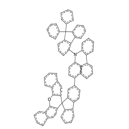 c1ccc(-c2ccccc2N(c2ccc(-c3ccc4c(c3)C3(c5ccccc5-4)c4ccc5ccccc5c4Oc4c3ccc3ccccc43)cc2)c2cccc3c2-c2ccccc2C3(c2ccccc2)c2ccccc2)cc1